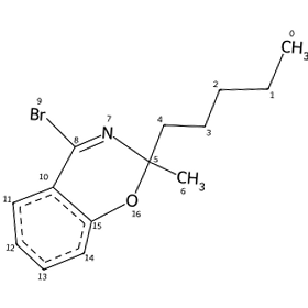 CCCCCC1(C)N=C(Br)c2ccccc2O1